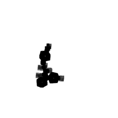 N#Cc1ccc(C=NNC(=O)c2[nH]c3ccccc3c2-c2ccc(Cl)cc2)cc1